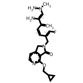 C=C(/C=C\C(=C\F)CN1Cc2ccnc(OCC3CC3)c2C1=O)/C(N)=C/N(C)N